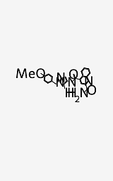 COc1ccc(Cn2ncc(NC(=O)c3cc(C(N)=O)nc4ccccc34)c2C)cc1